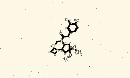 CCN(C(=O)Cc1ccc(Cl)c(Cl)c1)C1CC(OC)(OC)CC1N1CCC1